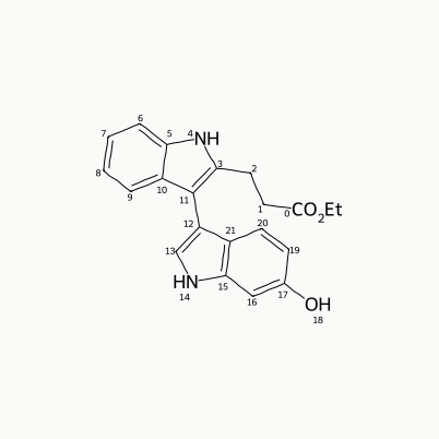 CCOC(=O)CCc1[nH]c2ccccc2c1-c1c[nH]c2cc(O)ccc12